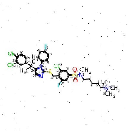 CN(CCCCC[N+](C)(C)C)S(=O)(=O)c1cc(F)c(CSc2ncc(C(C)(C)c3ccc(Cl)c(Cl)c3)n2-c2ccc(F)cc2)c(Cl)c1